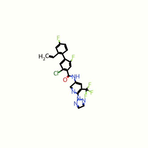 C=Cc1cc(F)ccc1-c1cc(Cl)c(C(=O)Nc2cnc(-n3nccn3)c(C(F)(F)F)c2)cc1F